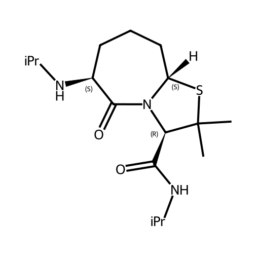 CC(C)NC(=O)[C@H]1N2C(=O)[C@@H](NC(C)C)CCC[C@@H]2SC1(C)C